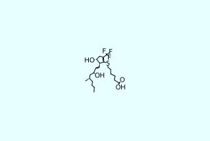 CCCC[C@@H](C)C[C@H](O)/C=C/[C@@H]1C(SCCCCCC(=O)O)=C(C(F)(F)F)C[C@H]1O